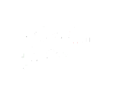 COC(=O)c1sc2c(C(F)(F)F)cc(C(F)(F)F)cc2c1Br